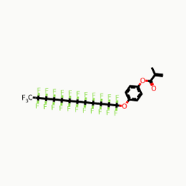 C=C(C)C(=O)Oc1ccc(OC(F)(F)C(F)(F)C(F)(F)C(F)(F)C(F)(F)C(F)(F)C(F)(F)C(F)(F)C(F)(F)C(F)(F)C(F)(F)C(F)(F)F)cc1